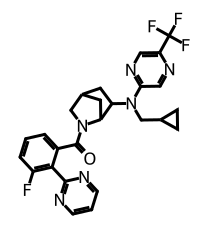 O=C(c1cccc(F)c1-c1ncccn1)N1CC2CC1C(N(CC1CC1)c1cnc(C(F)(F)F)cn1)C2